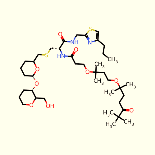 CCCc1csc(CNC(=O)[C@@H](CSCC2CCC[C@@H](O[C@H]3CCCOC3CO)O2)NC(=O)CCOC(C)(C)CCOC(C)(C)CCC(=O)C(C)(C)C)n1